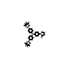 CC1(C)OB(c2ccc(N(c3ccc(B4OC(C)(C)C(C)(C)O4)cc3)c3ccc(N4CCCC4=O)cc3)cc2)OC1(C)C